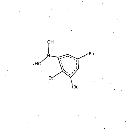 CCc1c(N(O)O)cc(C(C)(C)C)cc1C(C)(C)C